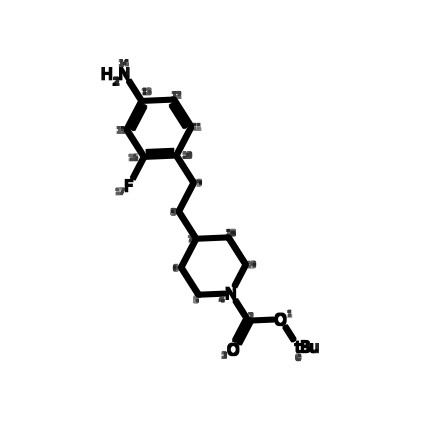 CC(C)(C)OC(=O)N1CCC(CCc2ccc(N)cc2F)CC1